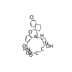 O=C1NS(=O)(=O)CCCC[C@@H](O)[C@@H]2CC[C@H]2CN2C[C@@]3(CCCc4cc(Cl)ccc43)COc3ccc1cc32